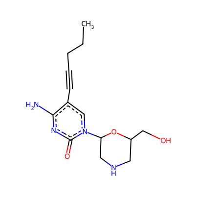 CCCC#Cc1cn(C2CNCC(CO)O2)c(=O)nc1N